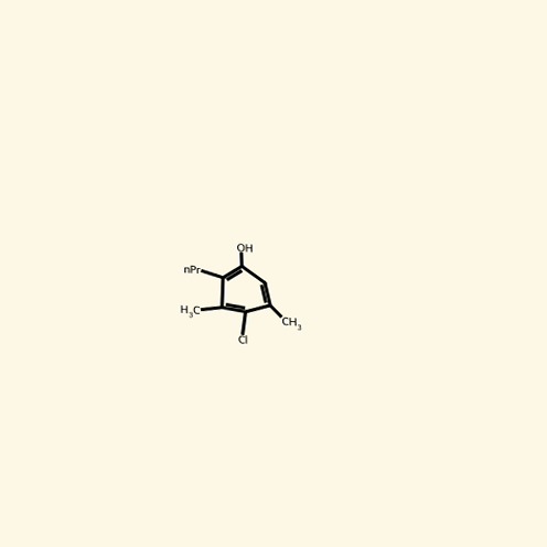 CCCc1c(O)cc(C)c(Cl)c1C